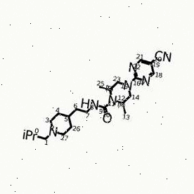 CC(C)CN1CCC(CCNC(=O)N2[C@H](C)CN(c3ncc(C#N)cn3)C[C@@H]2C)CC1